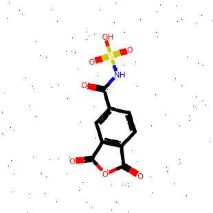 O=C(NS(=O)(=O)O)c1ccc2c(c1)C(=O)OC2=O